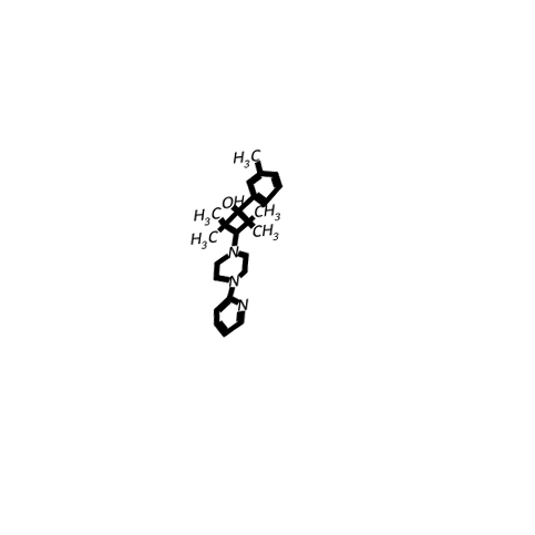 Cc1cccc(C2(O)C(C)(C)C(N3CCN(c4ccccn4)CC3)C2(C)C)c1